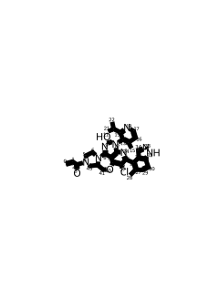 C=CC(=O)N1CCN2C3=NC(O)N(c4c(C)ccnc4C(C)C)c4nc(-c5c(C)ccc6[nH]ncc56)c(Cl)c(c43)OCC2C1